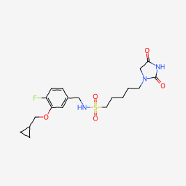 O=C1CN(CCCCCS(=O)(=O)NCc2ccc(F)c(OCC3CC3)c2)C(=O)N1